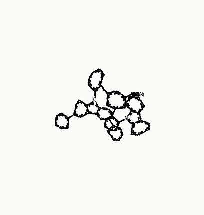 N#Cc1cc(-c2ccccc2-n2c3ccccc3c3ccccc32)cc(-c2ccccc2-n2c3ccc(-c4ccccc4)cc3c3cc(-c4ccccc4)ccc32)c1